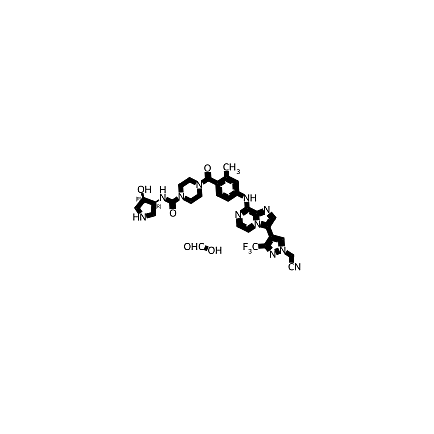 Cc1cc(Nc2nccn3c(-c4cn(CC#N)nc4C(F)(F)F)cnc23)ccc1C(=O)N1CCN(C(=O)N[C@@H]2CNC[C@H]2O)CC1.O=CO